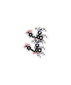 CC(C)N1CC=C(c2cc(C(=O)/C=C/c3ccc(C(=O)O)cc3)cc3c2C(C)(C)CCC3(C)C)CC1.CC(C)N1CC=C(c2cc(C(O)C#Cc3ccc(C(=O)O)cc3)cc3c2C(C)(C)CCC3(C)C)CC1